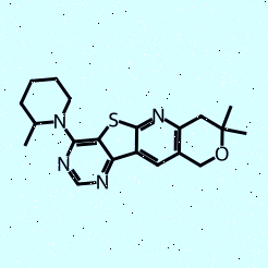 CC1CCCCN1c1ncnc2c1sc1nc3c(cc12)COC(C)(C)C3